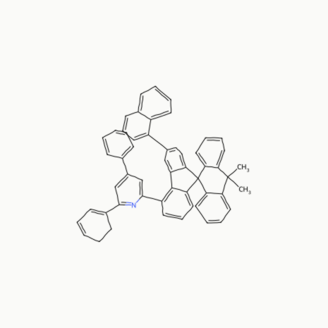 CC1(C)c2ccccc2C2(c3ccc(-c4cccc5ccccc45)cc3-c3c(-c4cc(-c5ccccc5)cc(C5=CC=CCC5)n4)cccc32)c2ccccc21